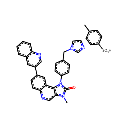 Cc1ccc(S(=O)(=O)O)cc1.Cn1c(=O)n(-c2ccc(Cn3ccnc3)cc2)c2c3cc(-c4cnc5ccccc5c4)ccc3ncc21